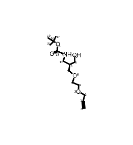 C#CCOCCOCC(CO)CNC(=O)OC(C)(C)C